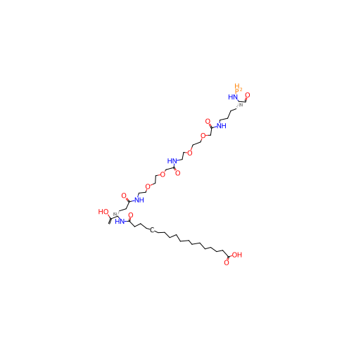 C=C(O)[C@H](CCC(=O)NCCOCCOCC(=O)NCCOCCOCC(=O)NCCCC[C@@H](C=O)NP)NC(=O)CCCCCCCCCCCCCCCCC(=O)O